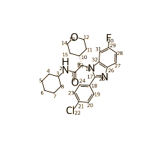 O=C(NC1CCCCC1)[C@H](C1CCOCC1)n1c(-c2ccc(Cl)cc2)nc2ccc(F)cc21